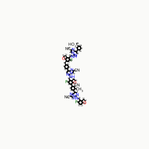 Cc1c(-c2cnc(NCc3c(F)ccc4c3CCO4)n3cc(C#N)nc23)ccc(-c2cc(F)c(CNc3ncc(-c4ccc(Cc5cc(F)c(CNc6ncc(-c7cccc(C(=O)O)c7)c7nc(C#N)cn67)c6c5OCC6)cc4)c4nc(C#N)cn34)c3c2OCC3)c1C#N